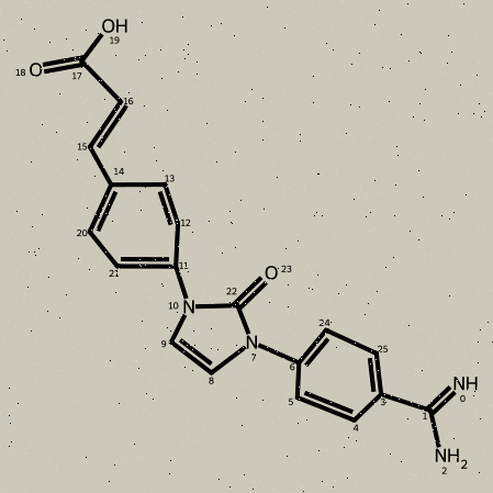 N=C(N)c1ccc(-n2ccn(-c3ccc(C=CC(=O)O)cc3)c2=O)cc1